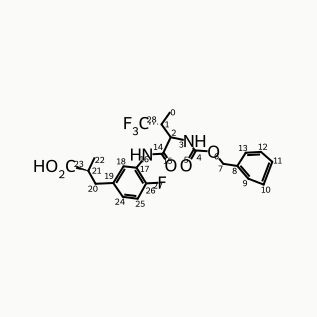 C[C@H](C(NC(=O)OCc1ccccc1)C(=O)Nc1cc(C[C@H](C)C(=O)O)ccc1F)C(F)(F)F